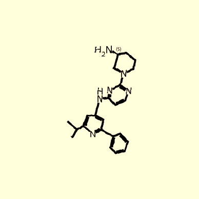 CC(C)c1cc(Nc2ccnc(N3CCC[C@H](N)C3)n2)cc(-c2ccccc2)n1